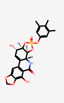 Cc1cc(OP2(=O)O[C@@H]3[C@H](O2)[C@@H](O)C=C2c4cc5c(c(O)c4C(=O)N[C@H]23)OCO5)cc(C)c1C